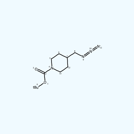 CC(C)(C)OC(=O)N1CCC(CN=[N+]=[N-])CC1